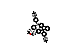 CC(C)(C)[Si](C)(C)c1ccc([S+](c2ccc([Si](C)(C)C(C)(C)C)cc2)c2ccc3c(c2)C(c2ccc([Si](C)(C)C(C)(C)C)cc2)(c2ccc([Si](C)(C)C(C)(C)C)cc2)c2ccccc2-3)cc1